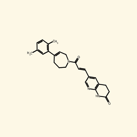 Cc1ccc(C)c(C2=CCN(C(=O)/C=C/c3cnc4c(c3)CCC(=O)N4)CCC2)c1